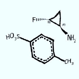 Cc1ccc(S(=O)(=O)O)cc1.N[C@@H]1C[C@H]1F